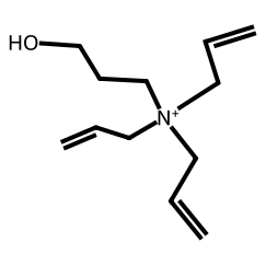 C=CC[N+](CC=C)(CC=C)CCCO